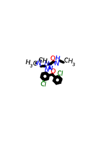 CCCNC(=O)c1nc(CN(C)C)n(-c2ccc(Cl)cc2C(=O)c2ccccc2Cl)n1